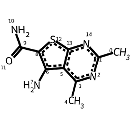 Cc1nc(C)c2c(N)c(C(N)=O)sc2n1